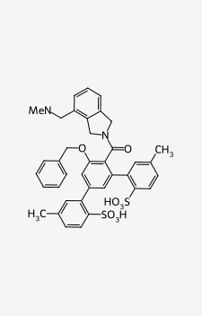 CNCc1cccc2c1CN(C(=O)c1c(OCc3ccccc3)cc(-c3cc(C)ccc3S(=O)(=O)O)cc1-c1cc(C)ccc1S(=O)(=O)O)C2